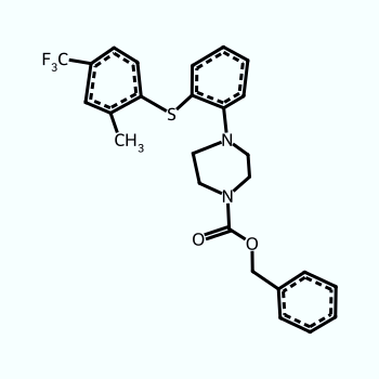 Cc1cc(C(F)(F)F)ccc1Sc1ccccc1N1CCN(C(=O)OCc2ccccc2)CC1